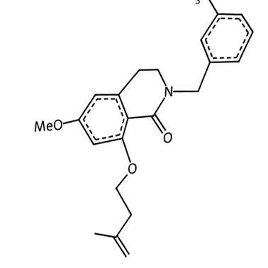 C=C(C)CCOc1cc(OC)cc2c1C(=O)N(Cc1cccc(C(F)(F)F)c1)CC2